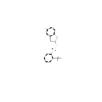 O=S(=O)(NC1Cc2ccc(O)cc2C1)c1ccccc1C(F)(F)F